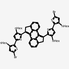 CCCCCCc1cc(-c2sc(Br)cc2CCCCCC)sc1C1=c2c3cccc4c3c(c3cccc(c23)C1)=C(c1sc(-c2sc(Br)cc2CCCCCC)cc1CCCCCC)C4